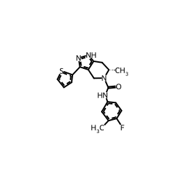 Cc1cc(NC(=O)N2Cc3c(-c4cccs4)n[nH]c3C[C@@H]2C)ccc1F